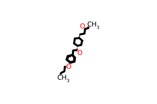 CCCCOc1ccc(CC(=O)[C@H]2CC[C@H](CCC(=O)CC)CC2)cc1